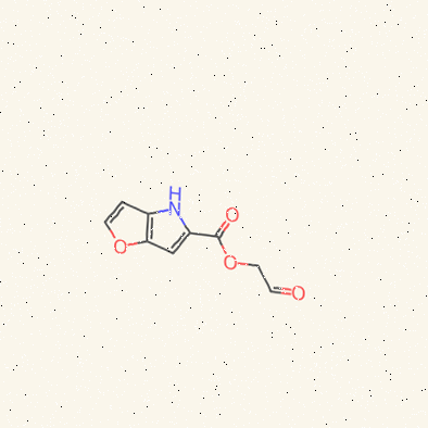 O=CCOC(=O)c1cc2occc2[nH]1